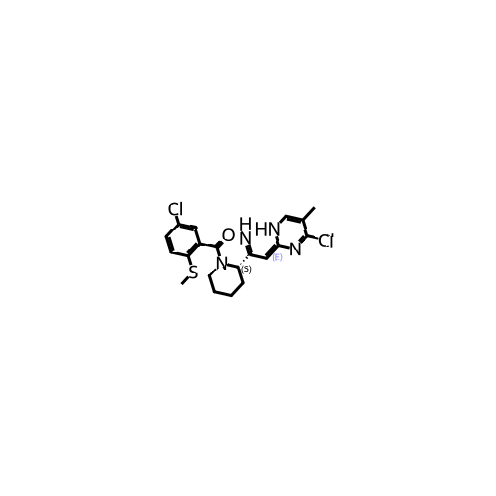 CSc1ccc(Cl)cc1C(=O)N1CCCC[C@H]1C(=N)/C=C1/N=C(Cl)C(C)=CN1